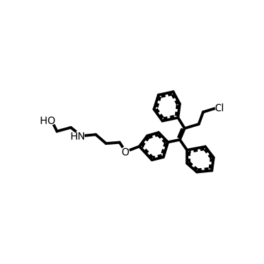 OCCNCCCOc1ccc(C(=C(CCCl)c2ccccc2)c2ccccc2)cc1